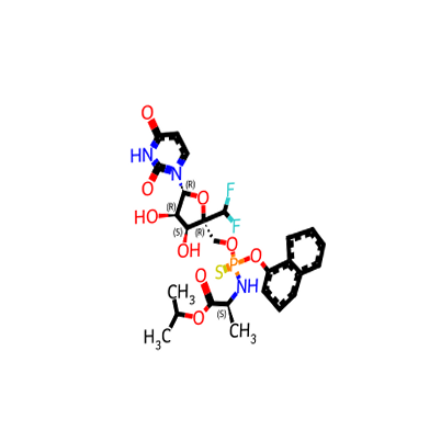 CC(C)OC(=O)[C@H](C)NP(=S)(OC[C@@]1(C(F)F)O[C@@H](n2ccc(=O)[nH]c2=O)[C@H](O)[C@@H]1O)Oc1cccc2ccccc12